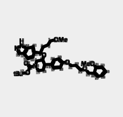 COCCCC(OC1CN(C(=O)OC(C)(C)C)CCC1c1ccc(OCCCOCc2ccccc2OC)cc1)c1ccc2cn[nH]c2c1